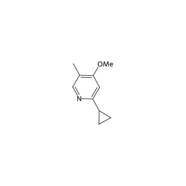 COc1cc(C2CC2)ncc1C